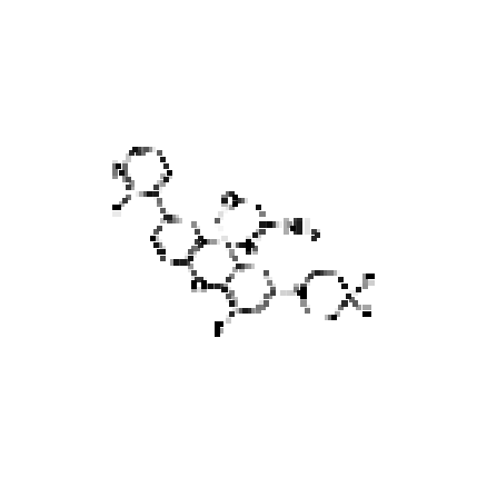 NC1=N[C@]2(COC1)c1cc(-c3cccnc3F)ccc1Oc1c(F)cc(N3CCC(F)(F)CC3)cc12